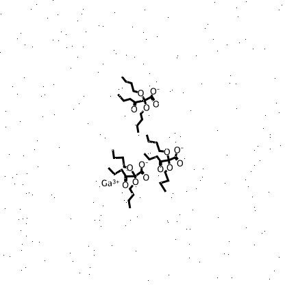 CCCCOC(OCCCC)(C(=O)[O-])C(=O)CCC.CCCCOC(OCCCC)(C(=O)[O-])C(=O)CCC.CCCCOC(OCCCC)(C(=O)[O-])C(=O)CCC.[Ga+3]